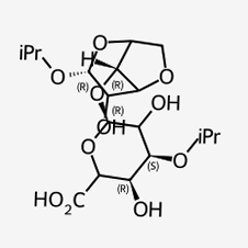 CC(C)O[C@@H]1OC2COC(C1O)[C@@H]2O[C@@H]1OC(C(=O)O)[C@H](O)[C@H](OC(C)C)C1O